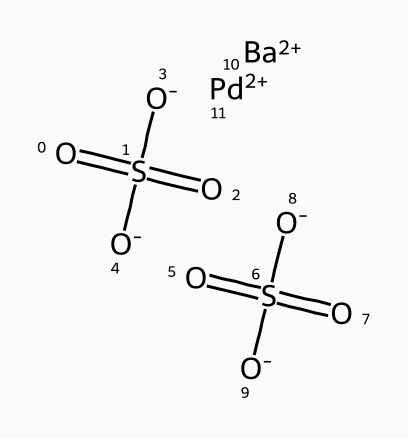 O=S(=O)([O-])[O-].O=S(=O)([O-])[O-].[Ba+2].[Pd+2]